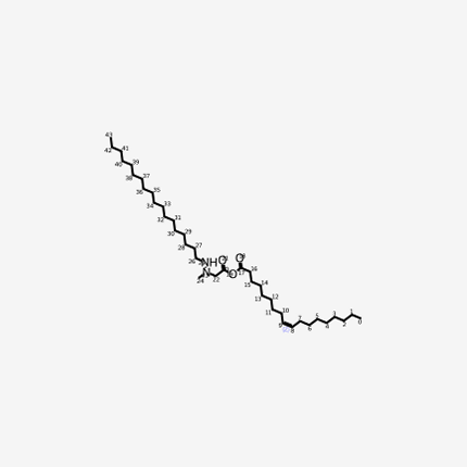 CCCCCCCC/C=C\CCCCCCCC(=O)OC(=O)CN(C)NCCCCCCCCCCCCCCCCCC